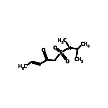 CC=CC(=O)CS(=O)(=O)N(C)C(C)C